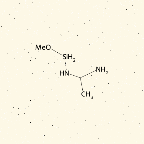 CO[SiH2]NC(C)N